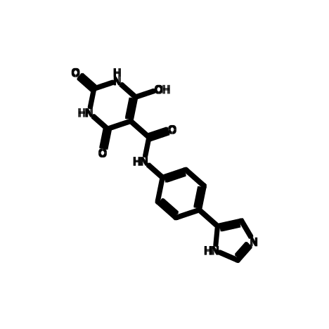 O=C(Nc1ccc(-c2cnc[nH]2)cc1)c1c(O)[nH]c(=O)[nH]c1=O